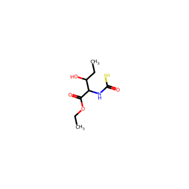 CCOC(=O)C(NC(=O)S)C(O)CC